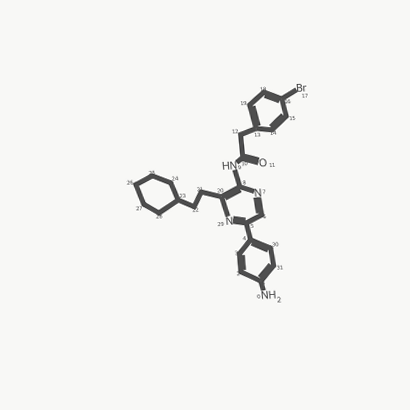 Nc1ccc(-c2cnc(NC(=O)Cc3ccc(Br)cc3)c(CCC3CCCCC3)n2)cc1